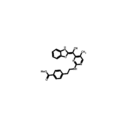 COC(=O)c1ccc(CCNc2ncc(C)c(/C(C#N)=C3/Nc4ccccc4O3)n2)cc1